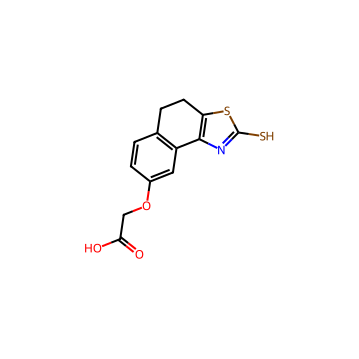 O=C(O)COc1ccc2c(c1)-c1nc(S)sc1CC2